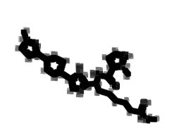 CNC(=O)CCCCCC(NC(=O)c1ccnn1C)c1ncc(-c2ccc(-c3ccn(C)n3)cc2)[nH]1